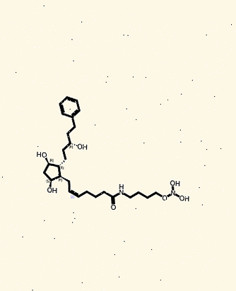 O=C(CCC/C=C\C[C@@H]1[C@@H](CC[C@@H](O)CCc2ccccc2)[C@H](O)C[C@@H]1O)NCCCCON(O)O